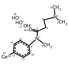 CN(C)CCC(=O)N(C)c1cc[c]([Ge+3])cc1.[OH-].[OH-].[OH-]